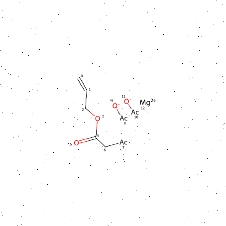 C=CCOC(=O)CC(C)=O.CC(=O)[O-].CC(=O)[O-].[Mg+2]